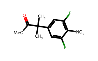 COC(=O)C(C)(C)c1cc(F)c([N+](=O)[O-])c(F)c1